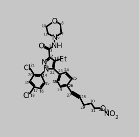 CCc1c(C(=O)NN2CCOCC2)nn(-c2ccc(Cl)cc2Cl)c1-c1ccc(C#CCCCO[N+](=O)[O-])cc1